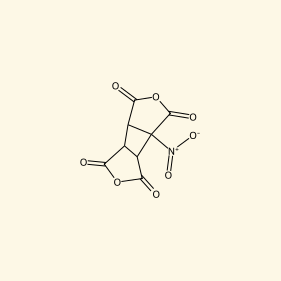 O=C1OC(=O)C2C1C1C(=O)OC(=O)C21[N+](=O)[O-]